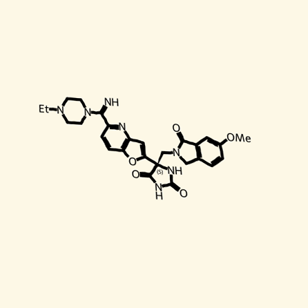 CCN1CCN(C(=N)c2ccc3oc([C@]4(CN5Cc6ccc(OC)cc6C5=O)NC(=O)NC4=O)cc3n2)CC1